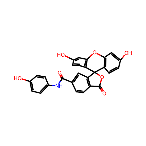 O=C(Nc1ccc(O)cc1)c1ccc2c(c1)C1(OC2=O)c2ccc(O)cc2Oc2cc(O)ccc21